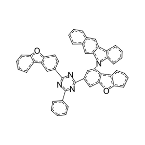 c1ccc(-c2nc(-c3cc(-n4c5ccccc5c5cc6ccccc6cc54)c4c(c3)oc3ccccc34)nc(-c3ccc4oc5ccccc5c4c3)n2)cc1